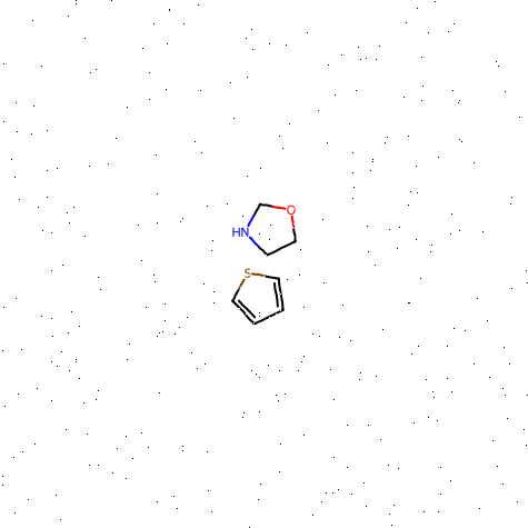 C1COCN1.c1ccsc1